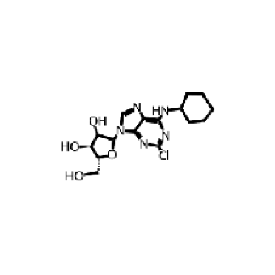 OC[C@H]1OC(n2cnc3c(NC4CCCCC4)nc(Cl)nc32)[C@H](O)[C@@H]1O